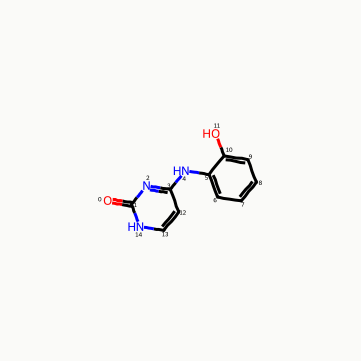 O=c1nc(Nc2ccccc2O)cc[nH]1